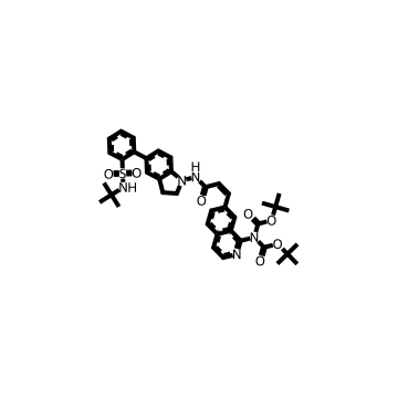 CC(C)(C)NS(=O)(=O)c1ccccc1-c1ccc2c(c1)CCN2NC(=O)/C=C\c1ccc2ccnc(N(C(=O)OC(C)(C)C)C(=O)OC(C)(C)C)c2c1